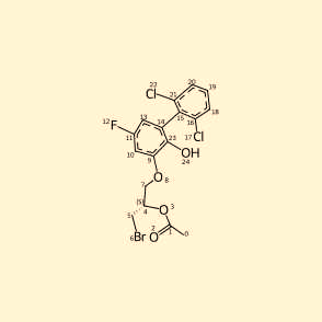 CC(=O)O[C@H](CBr)COc1cc(F)cc(-c2c(Cl)cccc2Cl)c1O